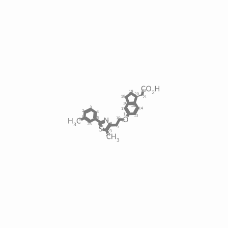 Cc1cccc(-c2nc(CCOc3ccc4c(c3)CC[C@H]4CC(=O)O)c(C)s2)c1